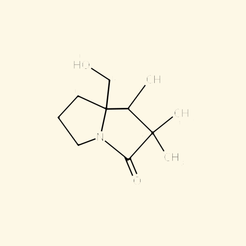 CC1C(C)(C)C(=O)N2CCCC12CO